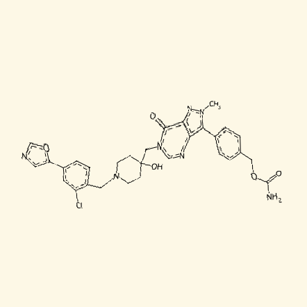 Cn1nc2c(=O)n(CC3(O)CCN(Cc4ccc(-c5cnco5)cc4Cl)CC3)cnc2c1-c1ccc(COC(N)=O)cc1